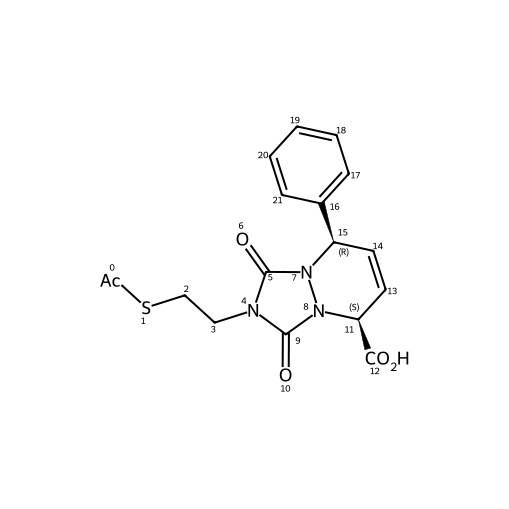 CC(=O)SCCn1c(=O)n2n(c1=O)[C@H](C(=O)O)C=C[C@@H]2c1ccccc1